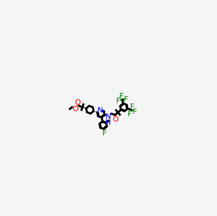 CCOC(=O)C(C)(C)[C@H]1CC[C@H](c2cc(-c3ccc(F)cc3C)c(NCC(=O)C(C)(C)c3cc(C(F)(F)F)cc(C(F)(F)F)c3)cn2)CC1